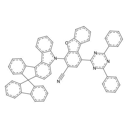 N#Cc1cc(-c2nc(-c3ccccc3)nc(-c3ccccc3)n2)c2c(oc3ccccc32)c1-n1c2ccccc2c2c3c(ccc21)C1(c2ccccc2-c2ccccc21)c1ccccc1-3